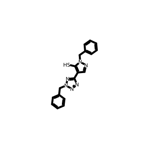 Sc1c(-c2nnn(Cc3ccccc3)n2)cnn1Cc1ccccc1